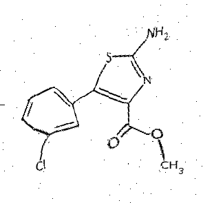 COC(=O)c1nc(N)sc1-c1cccc(Cl)c1